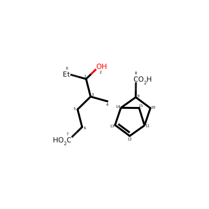 CCC(O)C(C)CCC(=O)O.O=C(O)C1CC2C=CC1C2